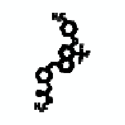 COC(=O)C[C@H]1CCCN(Cc2cccc3c(C(F)(F)F)c(OC4CCC(C)CC4)ccc23)C1